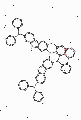 c1ccc(-c2ccccc2N2c3cc4c(cc3B3c5cc6oc7cc(N(c8ccccc8)c8ccccc8)ccc7c6cc5Oc5cccc2c53)oc2cc(N(c3ccccc3)c3ccccc3)ccc24)cc1